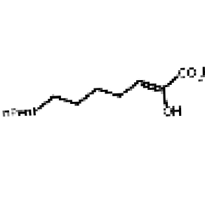 CCCCCCCCCC=C(O)C(=O)O